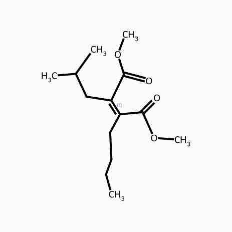 CCCC/C(C(=O)OC)=C(\CC(C)C)C(=O)OC